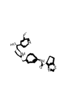 O=C(Nc1ccc(C[C@@H]2CC[C@H]([C@H](O)c3cncc(F)c3)N2)cc1)[C@@H]1CCc2scnc21